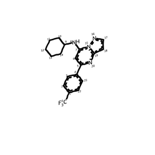 FC(F)(F)c1ccc(-c2cc(NC3CCCCC3)n3nccc3n2)cc1